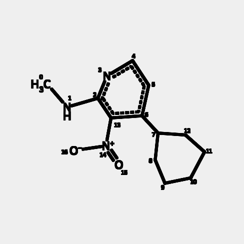 CNc1nccc(C2CCCCC2)c1[N+](=O)[O-]